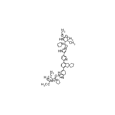 COC(=O)N[C@H](C(=O)N1CCC[C@H]1c1ncc(-c2ccc(-c3ccc(-c4ccc5nc([C@@H]6CCCN6C(=O)[C@@H](NC(=O)OC)C(C)C)[nH]c5c4)c4c3CC3(CCCC3)C4)nc2)[nH]1)C(C)C